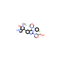 Cn1cc(-c2ccc3nc(N4CCO[C@H](CO)C4)nc(N4CCOC[C@@H]4c4ccc(F)cc4)c3c2)c2cc[nH]c2c1=O